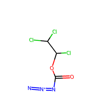 [N-]=[N+]=NC(=O)OC(Cl)C(Cl)Cl